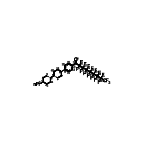 CCC[C@H]1CC[C@H]([C@H]2CC[C@H](c3ccc(C(=O)C(F)(F)C(F)(F)C(F)(F)C(F)(F)C(F)(F)C(F)(F)C(F)(F)C(F)(F)F)cc3)CC2)CC1